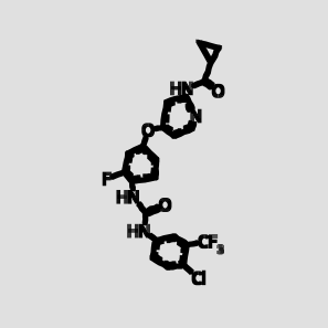 O=C(Nc1ccc(Cl)c(C(F)(F)F)c1)Nc1ccc(Oc2ccnc(NC(=O)C3CC3)c2)cc1F